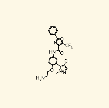 Cn1ncc(Cl)c1-c1cc(NC(=O)c2nc(-c3ccccc3)oc2C(F)(F)F)ccc1OCCN